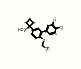 O=C(O)C1(c2ccc(OCC(F)(F)F)c(-c3ccc(Cl)c(Cl)c3)c2)CCC1